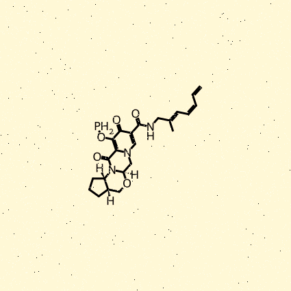 C=C/C=C\C=C(/C)CNC(=O)c1cn2c(c(OP)c1=O)C(=O)N1[C@@H](C2)OC[C@@H]2CCC[C@@H]21